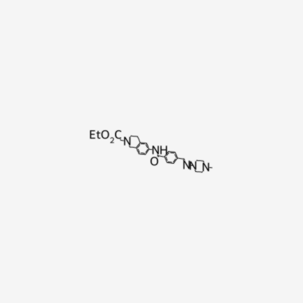 CCOC(=O)CN1CCc2cc(NC(=O)c3ccc(C=NN4CCN(C)CC4)cc3)ccc2C1